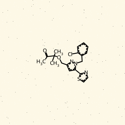 CC(=O)C(C)(C)OCc1cc(-c2nccs2)n(Cc2ccccc2Cl)n1